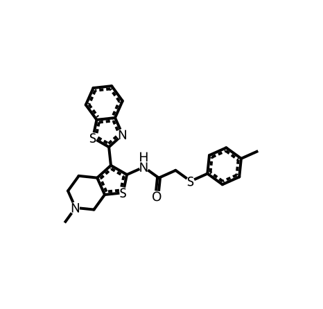 Cc1ccc(SCC(=O)Nc2sc3c(c2-c2nc4ccccc4s2)CCN(C)C3)cc1